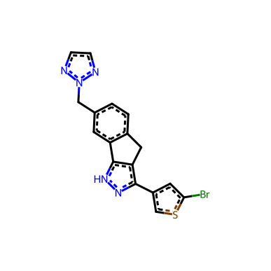 Brc1cc(-c2n[nH]c3c2Cc2ccc(Cn4nccn4)cc2-3)cs1